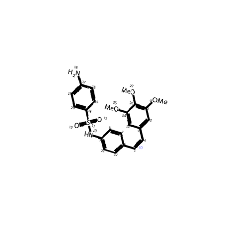 COc1cc(/C=C\c2ccc(NS(=O)(=O)c3ccc(N)cc3)cc2)cc(OC)c1OC